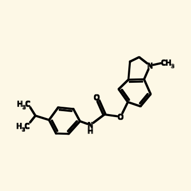 CC(C)c1ccc(NC(=O)Oc2ccc3c(c2)CCN3C)cc1